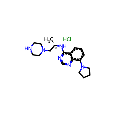 C[C@@H](CN1CCNCC1)Nc1ncnc2c(N3CCCC3)cccc12.Cl